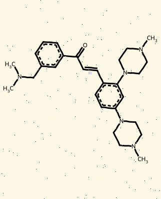 CN(C)Cc1cccc(C(=O)/C=C/c2ccc(N3CCN(C)CC3)cc2N2CCN(C)CC2)c1